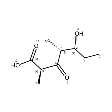 CC[C@@H](O)[C@@H](C)C(=O)[C@@H](C)C(=O)O